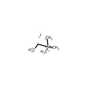 CC[N+](C)(C)C.[I-]